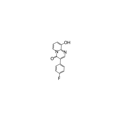 O=c1c(-c2ccc(F)cc2)cnc2c(O)cccn12